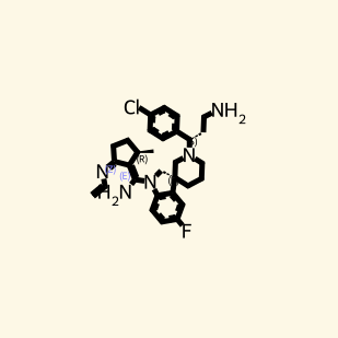 C=C/N=C1/CC[C@@H](C)/C1=C(/N)N1C[C@]2(CCCN([C@@H](CCN)c3ccc(Cl)cc3)C2)c2cc(F)ccc21